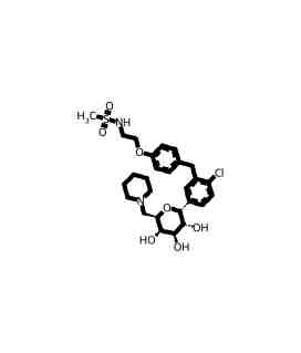 CS(=O)(=O)NCCOc1ccc(Cc2cc([C@H]3O[C@H](CN4CCCCC4)[C@H](O)[C@H](O)[C@H]3O)ccc2Cl)cc1